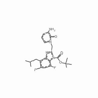 CC(C)Cc1c(F)cc(F)c2c1nc(Cn1cccc(N)c1=O)n2C(=O)OC(C)(C)C